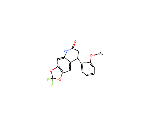 CCCCOc1ccccc1C1CC(=O)Nc2cc3c(cc21)OC(F)(F)O3